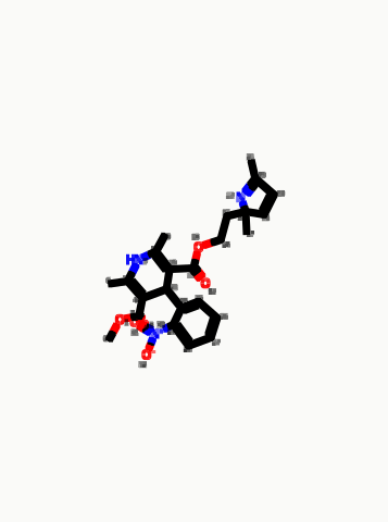 COC(=O)C1=C(C)NC(C)=C(C(=O)OCCC2(C)C=CC(C)=N2)C1c1ccccc1[N+](=O)[O-]